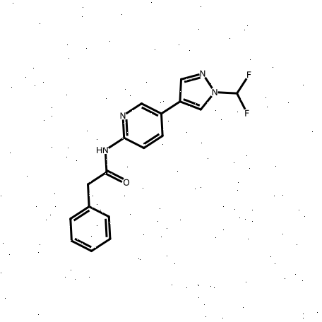 O=C(Cc1ccccc1)Nc1ccc(-c2cnn(C(F)F)c2)cn1